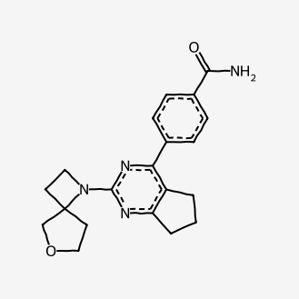 NC(=O)c1ccc(-c2nc(N3CCC34CCOC4)nc3c2CCC3)cc1